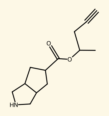 C#CCC(C)OC(=O)C1CC2CNCC2C1